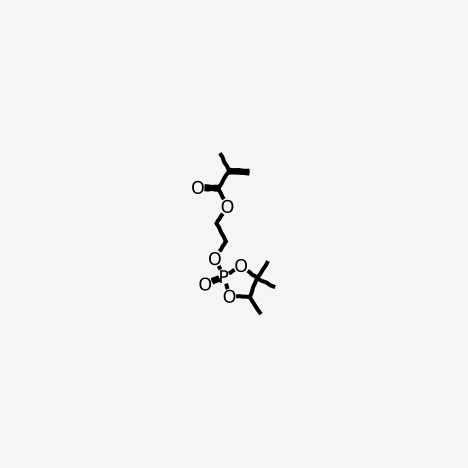 C=C(C)C(=O)OCCOP1(=O)OC(C)C(C)(C)O1